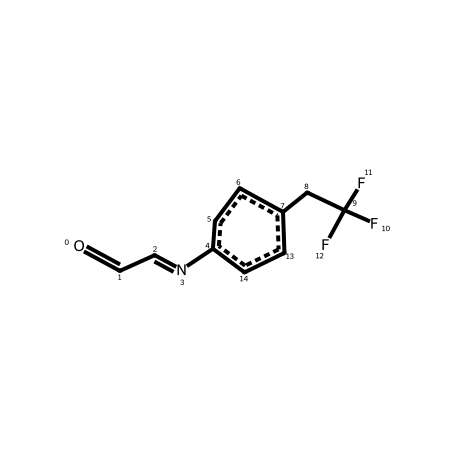 O=CC=Nc1ccc(CC(F)(F)F)cc1